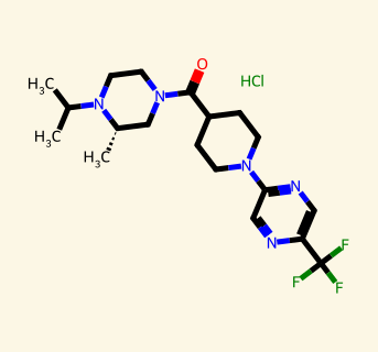 CC(C)N1CCN(C(=O)C2CCN(c3cnc(C(F)(F)F)cn3)CC2)C[C@@H]1C.Cl